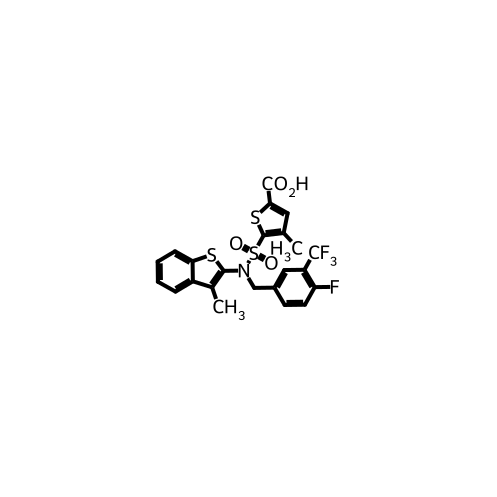 Cc1cc(C(=O)O)sc1S(=O)(=O)N(Cc1ccc(F)c(C(F)(F)F)c1)c1sc2ccccc2c1C